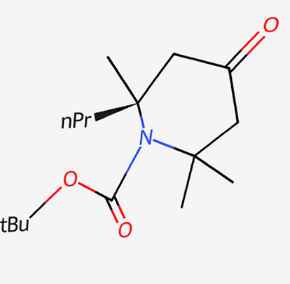 CCC[C@@]1(C)CC(=O)CC(C)(C)N1C(=O)OC(C)(C)C